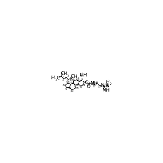 CC(C)CCC[C@@H](C)C1C=C2CC(OC(=O)NCCCNC(=N)N)CCC2C2CCC3CCCC3C21.Cl